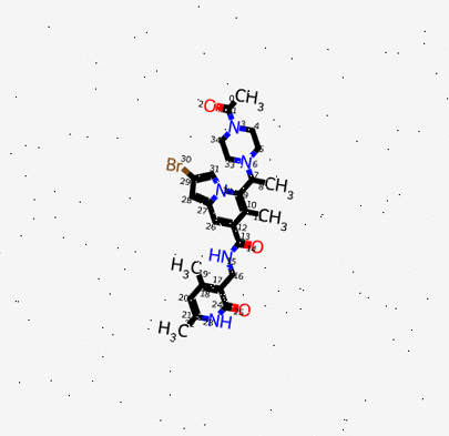 CC(=O)N1CCN(C(C)c2c(C)c(C(=O)NCc3c(C)cc(C)[nH]c3=O)cc3cc(Br)cn23)CC1